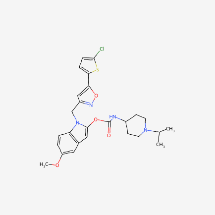 COc1ccc2c(c1)cc(OC(=O)NC1CCN(C(C)C)CC1)n2Cc1cc(-c2ccc(Cl)s2)on1